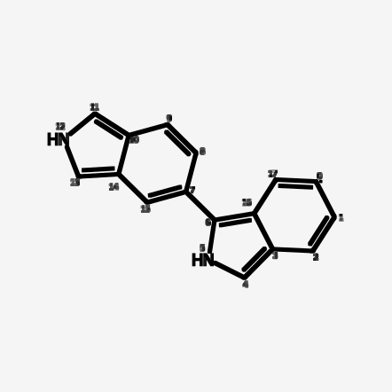 [c]1ccc2c[nH]c(-c3ccc4c[nH]cc4c3)c2c1